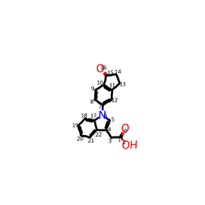 O=C(O)Cc1cn(-c2ccc3c(c2)CCC3=O)c2ccccc12